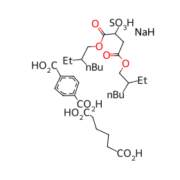 CCCCC(CC)COC(=O)CC(C(=O)OCC(CC)CCCC)S(=O)(=O)O.O=C(O)CCCCC(=O)O.O=C(O)c1ccc(C(=O)O)cc1.[NaH]